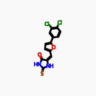 O=C1NC(=S)N/C1=C/c1ccc(-c2ccc(Cl)c(Cl)c2)o1